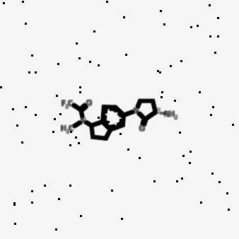 CN(C(=O)C(F)(F)F)C1CCc2cc(N3CC[C@H](N)C3=O)ccc21